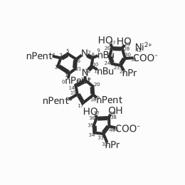 CCCCCc1cc(CCCCC)cc(N=C(CCCC)C(CCCC)=Nc2cc(CCCCC)cc(CCCCC)c2)c1.CCCc1ccc(O)c(O)c1C(=O)[O-].CCCc1ccc(O)c(O)c1C(=O)[O-].[Ni+2]